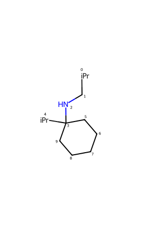 CC(C)CNC1(C(C)C)CCCCC1